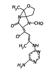 C/C(=C\C(Cl)=C1\C(=O)N2C3(C)OCCC23N1C=O)Nc1cc(N)ncn1